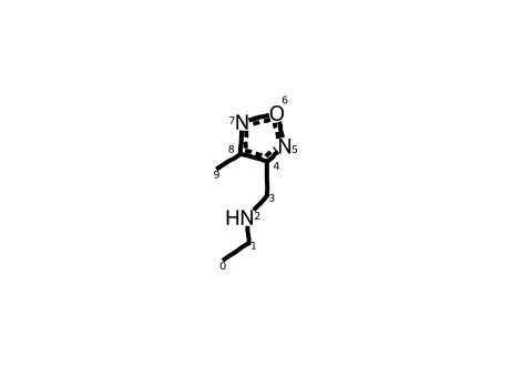 CCNCc1nonc1C